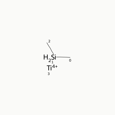 C[SiH2]C.[Ti+4]